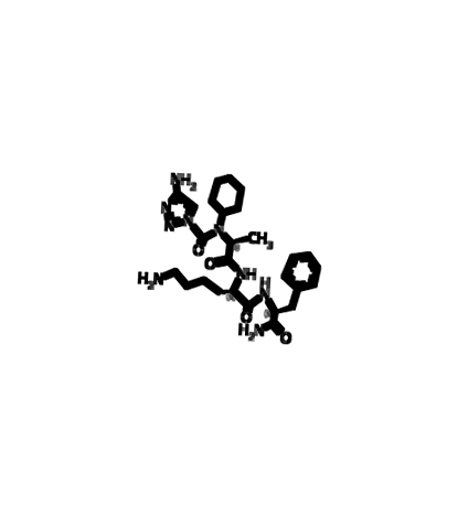 C[C@@H](C(=O)N[C@@H](CCCCN)C(=O)N[C@@H](Cc1ccccc1)C(N)=O)N(C(=O)n1cc(N)nn1)C1CCCCC1